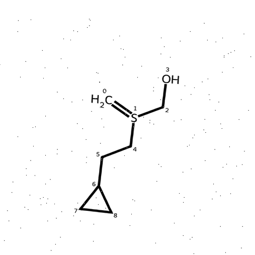 C=S(CO)CCC1CC1